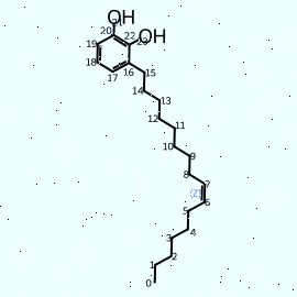 CCCCCC/C=C\CCCCCCCCc1cccc(O)c1O